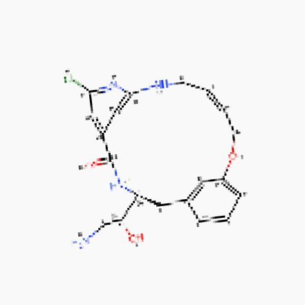 NC[C@@H](O)[C@@H]1Cc2cccc(c2)OCC=CCNc2cc(cc(Cl)n2)C(=O)N1